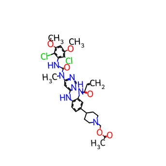 C=CC(=O)Nc1cc(C2CCN(COC(C)=O)CC2)ccc1Nc1cc(N(C)C(=O)Nc2c(Cl)c(OC)cc(OC)c2Cl)ncn1